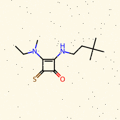 CCN(C)c1c(NCCC(C)(C)C)c(=O)c1=S